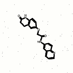 O=C(COc1ccc2c(c1)CCC(=O)N2)Nc1ccc2ncccc2c1